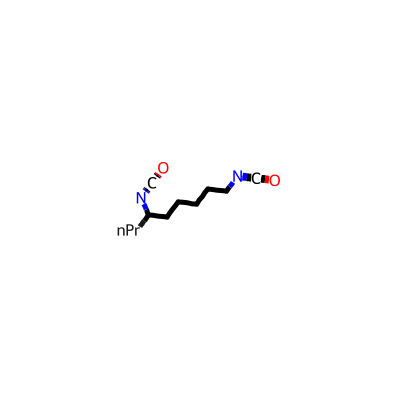 CCCC(CCCCCN=C=O)N=C=O